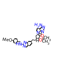 COc1ccc(CNc2ncc3ccc(CC[C@H]4C[C@@H](n5ccc6c(N)ncnc65)[C@@H]5OC(C)(C)O[C@H]45)cc3n2)cc1